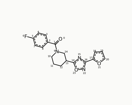 O=C(c1ccc(F)cc1)N1CCCC(c2nc(-c3ccco3)no2)C1